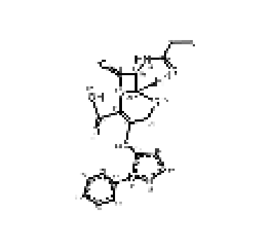 CCC(=S)N[C@@H]1C(=O)N2C(C(=O)O)=C(Sc3ccnn3-c3ccccc3)CS[C@@H]12